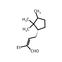 CCC(C=O)=CC[C@H]1CCC(C)C1(C)C